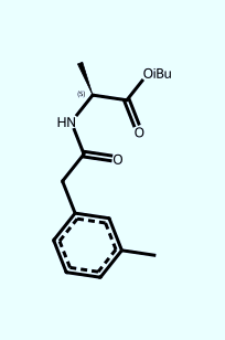 Cc1cccc(CC(=O)N[C@@H](C)C(=O)OCC(C)C)c1